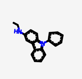 CCNc1ccc2c(c1)c1ccccc1n2-c1ccccc1